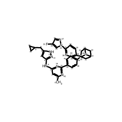 Cc1cc(Nc2cc(CC3CC3)[nH]n2)nc(-c2ccc(N3CC4CC(C3)N4Cc3ccc(-n4cc(F)cn4)nc3)nc2)n1